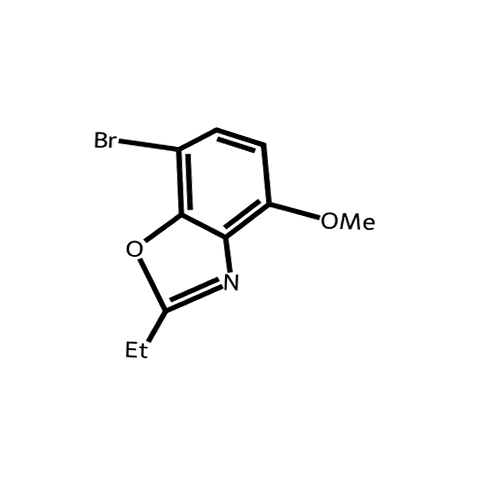 CCc1nc2c(OC)ccc(Br)c2o1